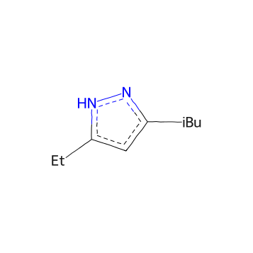 [CH2]Cc1cc(C(C)CC)n[nH]1